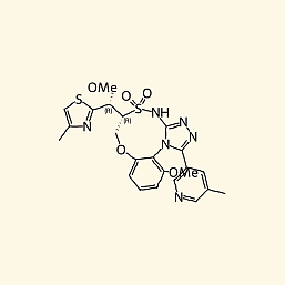 COc1cccc2c1-n1c(nnc1-c1cncc(C)c1)NS(=O)(=O)[C@@H]([C@@H](OC)c1nc(C)cs1)CO2